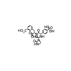 O=C(O)c1cccc2c1OB(O)C(NC(=O)C(NC(=O)N1CCNC1=O)c1ccc(P(=O)(O)O)cc1)C2